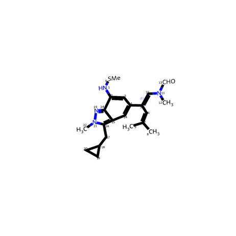 CSNc1cc(/C(C=C(C)C)=C/N(C)C=O)cc2c(CC3CC3)n(C)nc12